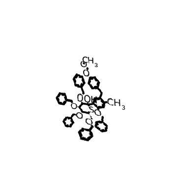 COCOc1ccc(Cc2cc([C@]3(O)S[C@H](COCc4ccccc4)[C@@H](OCc4ccccc4)[C@H](OCc4ccccc4)[C@H]3OCc3ccccc3)c(OCc3ccccc3)cc2C)cc1